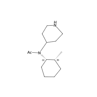 CC(=O)N(C1CCNCC1)[C@H]1CCCC[C@H]1C